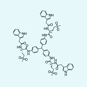 CS(=O)(=O)CC[C@H](NC(=O)Cc1c[nH]c2ccccc12)C(=O)Nc1ccc(C(c2ccc(NC(=O)[C@H](CCS(C)(=O)=O)NC(=O)Cc3c[nH]c4ccccc34)cc2)c2ccc(NC(=O)[C@H](CCS(C)(=O)=O)NC(=O)Cc3c[nH]c4ccccc34)cc2)cc1